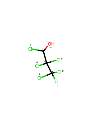 O[C](Cl)C(Cl)(Cl)C(Cl)(Cl)Cl